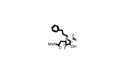 CNC(=O)CC1[C@H](F)[C@H](O)[C@@H](C(F)F)N1CCCc1ccccc1